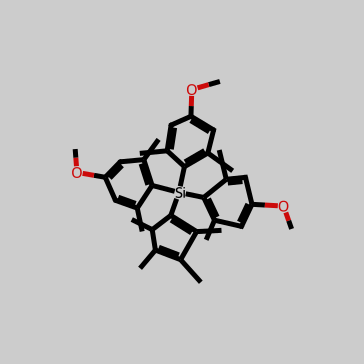 COc1cc(C)c([Si](C2=C(C)C(C)=C(C)C2C)(c2c(C)cc(OC)cc2C)c2c(C)cc(OC)cc2C)c(C)c1